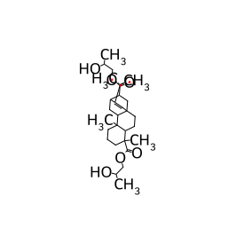 CC(O)COC(=O)C1CC23C=C(C(C)C)C1CC2C1(C)CCCC(C)(C(=O)OCC(C)O)C1CC3